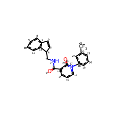 O=C(NCC1C=Cc2ccccc21)c1cccn(-c2cccc(C(F)(F)F)c2)c1=O